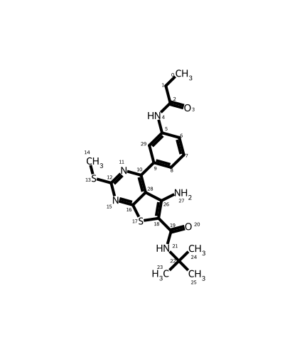 CCC(=O)Nc1cccc(-c2nc(SC)nc3sc(C(=O)NC(C)(C)C)c(N)c23)c1